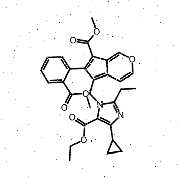 CCOC(=O)c1c(C2CC2)nc(CC)n1Cc1c2ccocc-2c(C(=O)OC)c1-c1ccccc1C(=O)OC